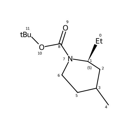 CC[C@H]1CC(C)CCN1C(=O)OC(C)(C)C